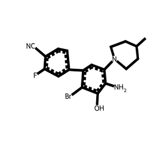 CC1CCN(c2cc(-c3ccc(C#N)c(F)c3)c(Br)c(O)c2N)CC1